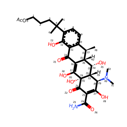 CC(=O)OCCCC(C)(C)c1ccc2c(c1O)C(=O)C1=C(O)[C@]3(O)C(=O)C(C(N)=O)=C(O)[C@H](N(C)C)[C@H]3[C@@H](O)[C@H]1[C@@H]2C